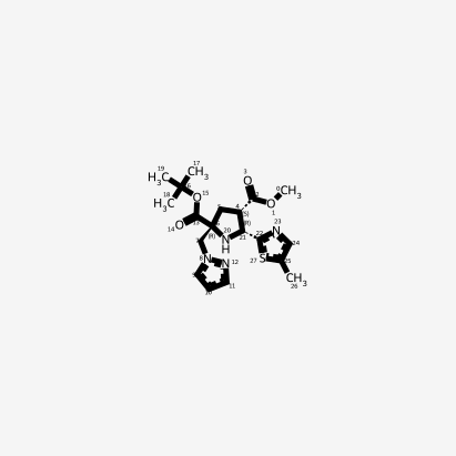 COC(=O)[C@H]1C[C@@](Cn2cccn2)(C(=O)OC(C)(C)C)N[C@H]1c1ncc(C)s1